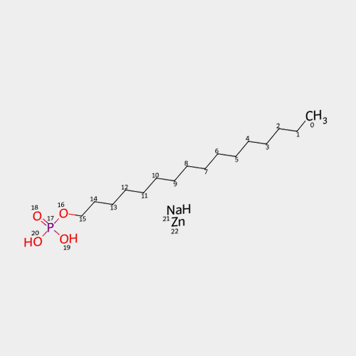 CCCCCCCCCCCCCCCCOP(=O)(O)O.[NaH].[Zn]